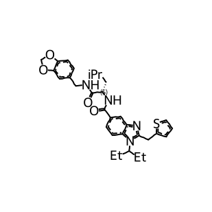 CCC(CC)n1c(Cc2cccs2)nc2cc(C(=O)N[C@@H](CC(C)C)C(=O)NCc3ccc4c(c3)OCO4)ccc21